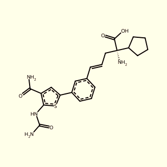 NC(=O)Nc1sc(-c2cccc(C=CC[C@@](N)(C(=O)O)C3CCCC3)c2)cc1C(N)=O